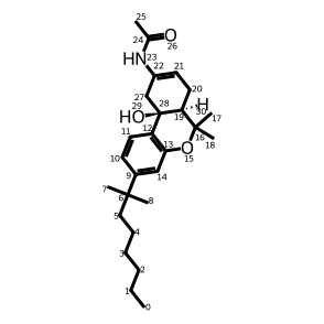 CCCCCCC(C)(C)c1ccc2c(c1)OC(C)(C)[C@@H]1CC=C(NC(C)=O)C[C@@]21O